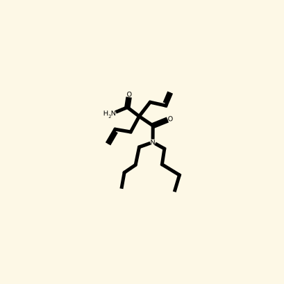 C=CCC(CC=C)(C(N)=O)C(=O)N(CCCC)CCCC